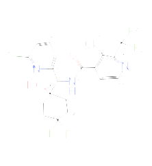 O=C(NC(c1cccc(Cl)n1)C1(O)CCC(F)(F)CC1)c1ccnc(C(F)(F)F)c1Cl